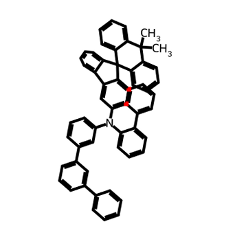 CC1(C)c2ccccc2C2(c3ccccc3-c3cc(N(c4cccc(-c5cccc(-c6ccccc6)c5)c4)c4ccccc4-c4ccccc4)ccc32)c2ccccc21